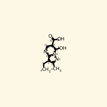 CCc1c(C)nn2c(O)c(C(=O)O)cnc12